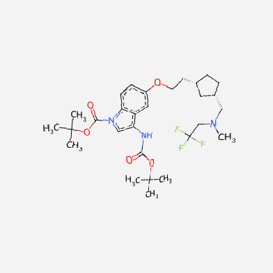 CN(C[C@H]1CC[C@@H](CCOc2ccc3c(c2)c(NC(=O)OC(C)(C)C)cn3C(=O)OC(C)(C)C)C1)CC(F)(F)F